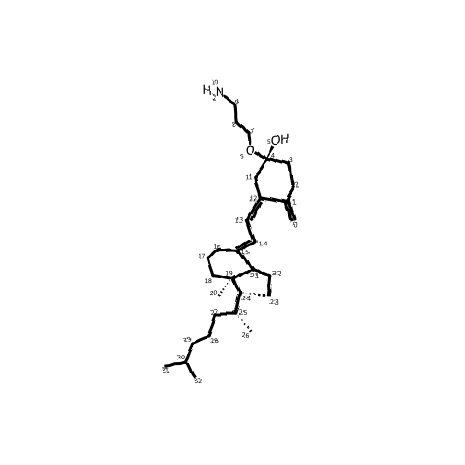 C=C1CC[C@@](O)(OCCCN)C/C1=C/C=C1CCC[C@@]2(C)C1CC[C@@H]2[C@H](C)CCCC(C)C